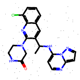 CC(Nc1ccnc2ccnn12)c1cc2cccc(Cl)c2nc1N1CCNC(=O)C1